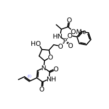 C/C=C/c1cn(C2CC(O)C(COP(=O)(NC(C)C(=O)OC)Oc3ccccc3)O2)c(=O)[nH]c1=O